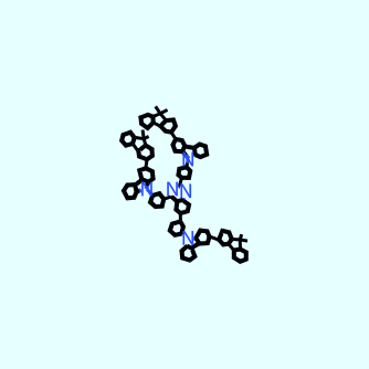 CC1(C)c2ccccc2-c2cc(-c3ccc4c(c3)c3ccccc3n4-c3ccc(-c4nc(-c5cccc(-n6c7ccccc7c7cc(-c8ccc9c(c8)-c8ccccc8C9(C)C)ccc76)c5)c5cc(-c6cccc(-n7c8ccccc8c8cc(-c9ccc%10c(c9)-c9ccccc9C%10(C)C)ccc87)c6)ccc5n4)cc3)ccc21